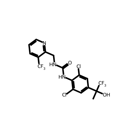 CC(O)(c1cc(Cl)c(NC(=O)NCc2ncccc2C(F)(F)F)c(Cl)c1)C(F)(F)F